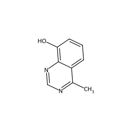 Cc1ncnc2c(O)cccc12